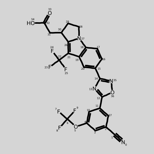 N#Cc1cc(OC(F)(F)F)cc(-c2nc(-c3ccc4c(c3)c(C(F)(F)F)c3n4CCC3CC(=O)O)no2)c1